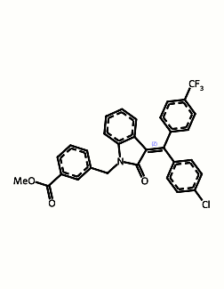 COC(=O)c1cccc(CN2C(=O)/C(=C(\c3ccc(Cl)cc3)c3ccc(C(F)(F)F)cc3)c3ccccc32)c1